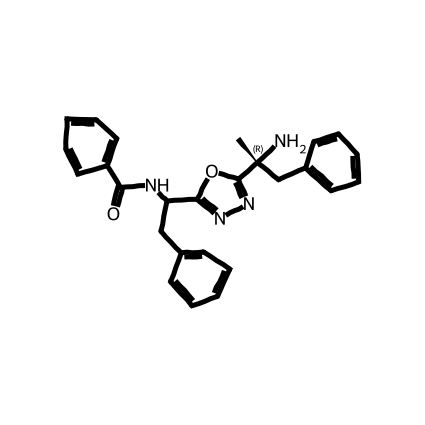 C[C@@](N)(Cc1ccccc1)c1nnc(C(Cc2ccccc2)NC(=O)c2ccccc2)o1